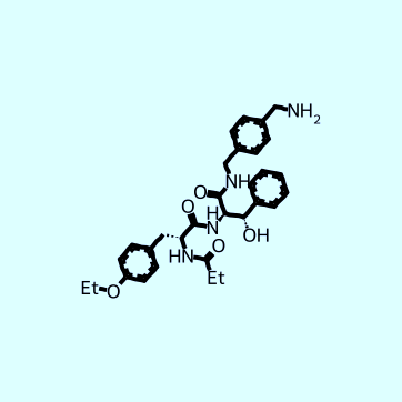 CCOc1ccc(C[C@@H](NC(=O)CC)C(=O)N[C@@H](C(=O)NCc2ccc(CN)cc2)[C@@H](O)c2ccccc2)cc1